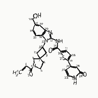 C=CC(=O)N1CC[C@]2(C1)C[C@H](n1c(NC(=O)c3ccc(-c4cc[nH]c(=O)c4)s3)nc3cc(CO)ccc31)C2